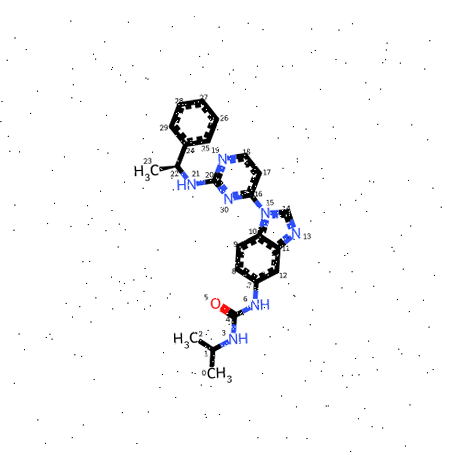 CC(C)NC(=O)Nc1ccc2c(c1)ncn2-c1ccnc(N[C@@H](C)c2ccccc2)n1